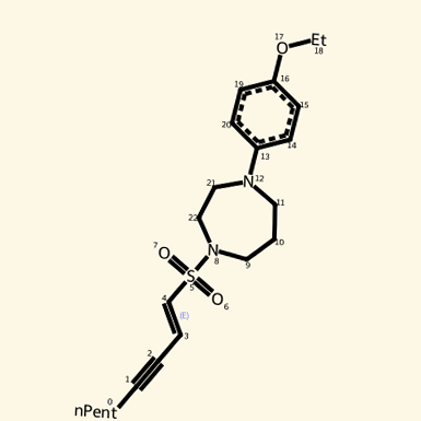 CCCCCC#C/C=C/S(=O)(=O)N1CCCN(c2ccc(OCC)cc2)CC1